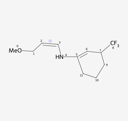 COC/C=C\NC1=CC(C(F)(F)F)CCC1